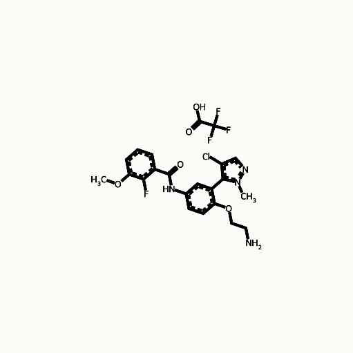 COc1cccc(C(=O)Nc2ccc(OCCN)c(-c3c(Cl)cnn3C)c2)c1F.O=C(O)C(F)(F)F